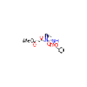 COC(=O)CCC(=O)CNC(=O)C(CC(C)C)NC(=O)OCc1ccccc1